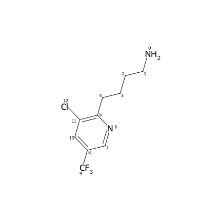 NCCCCc1ncc(C(F)(F)F)cc1Cl